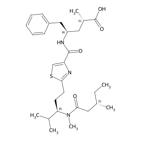 CC[C@H](C)CC(=O)N(C)[C@H](CCc1nc(C(=O)N[C@@H](Cc2ccccc2)C[C@H](C)C(=O)O)cs1)C(C)C